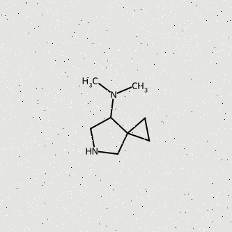 CN(C)C1CNCC12CC2